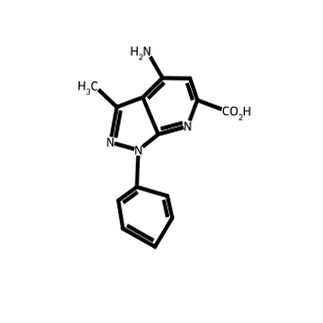 Cc1nn(-c2ccccc2)c2nc(C(=O)O)cc(N)c12